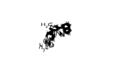 CN1C=C2C(=C(C3=CCN(S(C)(=O)=O)CC3)C1)NN=C1C=Cc3cccc2c31